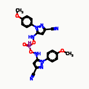 COc1ccc(-n2nc(C#N)cc2NO[PH](=O)ONc2cc(C#N)nn2-c2ccc(OC)cc2)cc1